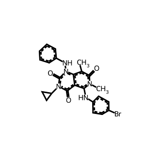 Cc1c(=O)n(C)c(Nc2ccc(Br)cc2)c2c(=O)n(C3CC3)c(=O)n(Nc3ccccc3)c12